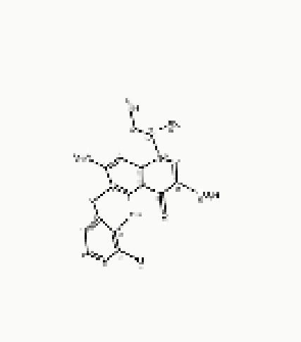 COc1cc2c(cc1Cc1cccc(Cl)c1F)c(=O)c(C(=O)O)cn2[C@H](CO)C(C)(C)C